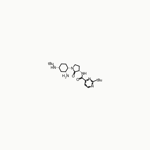 CC(C)(C)N[C@@H]1CC[C@H](N2CC[C@H](NC(=O)c3ccnc(C(C)(C)C)n3)C2=O)[C@H](N)C1